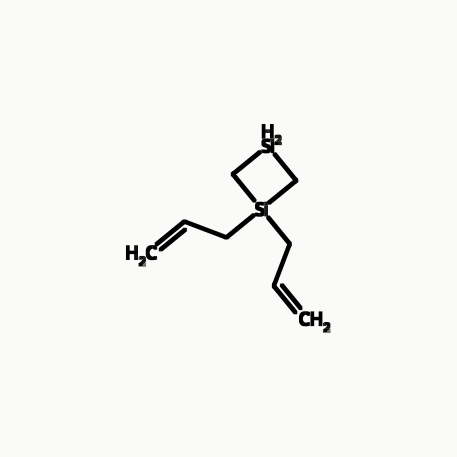 C=CC[Si]1(CC=C)C[SiH2]C1